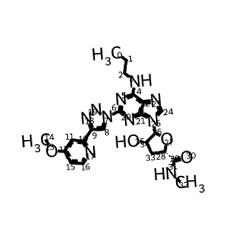 CCCNc1nc(-n2cc(-c3cc(OC)ccn3)nn2)nc2c1ncn2C1O[C@H](C(=O)NC)C[C@H]1O